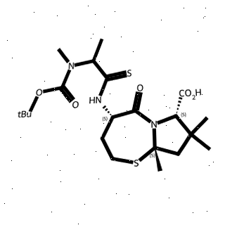 CC(C(=S)N[C@H]1CCS[C@@]2(C)CC(C)(C)[C@@H](C(=O)O)N2C1=O)N(C)C(=O)OC(C)(C)C